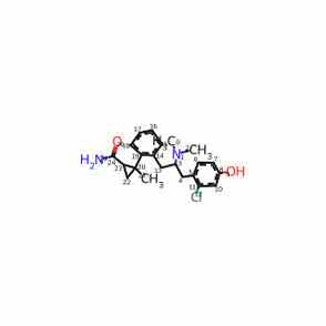 CN(C)C(Cc1ccc(O)cc1Cl)Cc1ccccc1C1(C)CC1C(N)=O